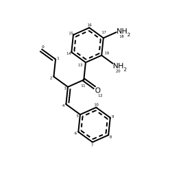 C=CCC(=Cc1ccccc1)C(=O)c1cccc(N)c1N